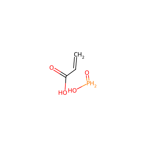 C=CC(=O)O.O=[PH2]O